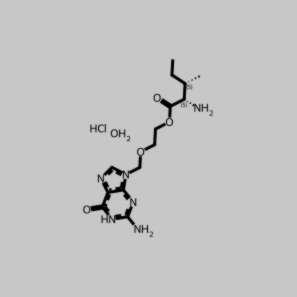 CC[C@H](C)[C@H](N)C(=O)OCCOCn1cnc2c(=O)[nH]c(N)nc21.Cl.O